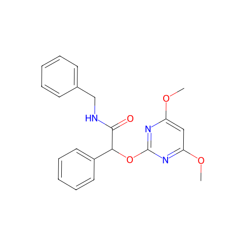 COc1cc(OC)nc(OC(C(=O)NCc2ccccc2)c2ccccc2)n1